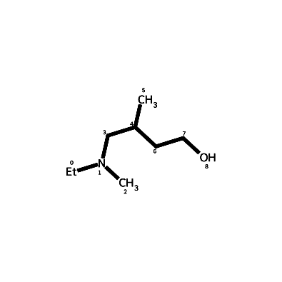 CCN(C)CC(C)CCO